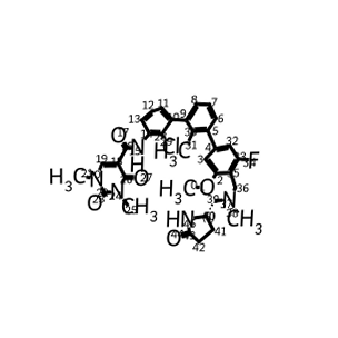 COc1cc(-c2cccc(-c3cccc(NC(=O)c4cn(C)c(=O)n(C)c4=O)c3Cl)c2C)cc(F)c1CN(C)C[C@@H]1CCC(=O)N1